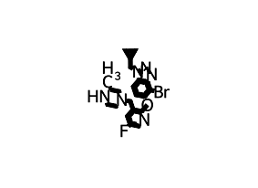 C[C@@H]1CN(Cc2cc(F)cnc2Oc2ccc3c(nnn3CC3CC3)c2Br)CCN1